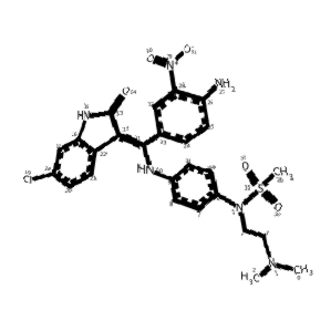 CN(C)CCN(c1ccc(NC(=C2C(=O)Nc3cc(Cl)ccc32)c2ccc(N)c([N+](=O)[O-])c2)cc1)S(C)(=O)=O